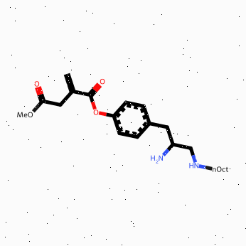 C=C(CC(=O)OC)C(=O)Oc1ccc(CC(N)CNCCCCCCCC)cc1